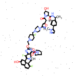 C#Cc1c(F)ccc2cc(O)cc(-c3ncc4c(N5CC6CCC(C5)N6C(=O)OC(C)(C)C)nc(OCCN5CCC(F)(CN6CCN(c7cc([C@H](C(=O)N8C[C@H](O)C[C@H]8C(=O)N[C@@H](C)c8ccc(-c9ccnn9C)cc8)C(C)C)on7)CC6)CC5)nc4c3F)c12